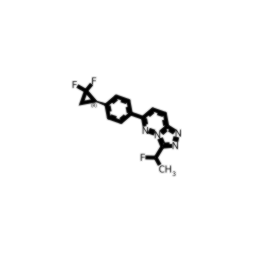 CC(F)c1nnc2ccc(-c3ccc([C@H]4CC4(F)F)cc3)nn12